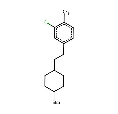 CCCCC1CCC(CCc2ccc(C(F)(F)F)c(F)c2)CC1